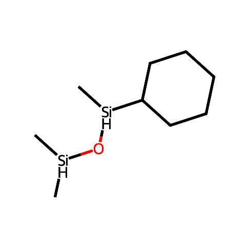 C[SiH](C)O[SiH](C)C1CCCCC1